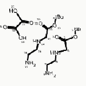 CC(C)(C)OC(=O)CNCCN.CC(C)(C)OC(=O)CNCCN.O=C(O)C(=O)O